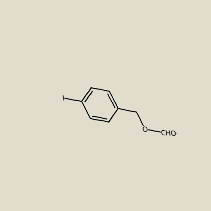 O=[C]OCc1ccc(I)cc1